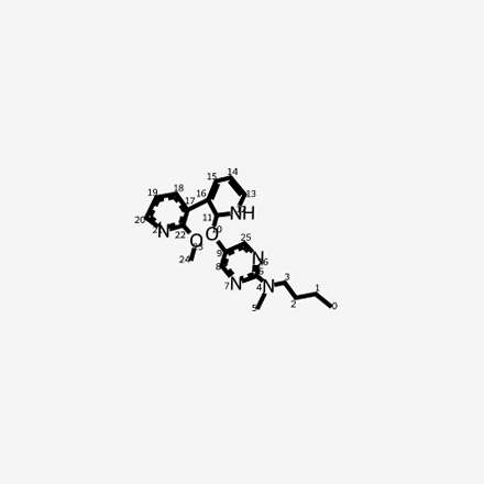 CCCCN(C)c1ncc(OC2NC=CC=C2c2cccnc2OC)cn1